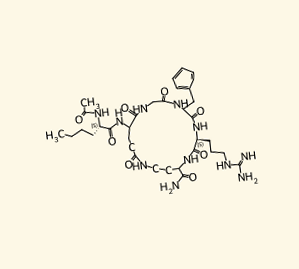 CCCC[C@H](NC(C)=O)C(=O)NC1CCC(=O)NCCC(C(N)=O)NC(=O)[C@H](CCCNC(=N)N)NC(=O)C(Cc2ccccc2)NC(=O)CNC1=O